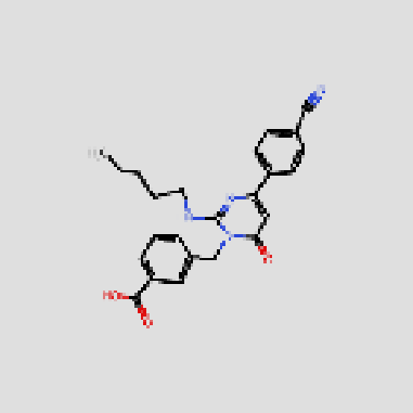 CCCCCNc1nc(-c2ccc(C#N)cc2)cc(=O)n1Cc1cccc(C(=O)O)c1